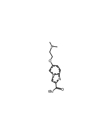 CN(C)CCOc1ccc2nc(C(=O)C(C)(C)C)cn2c1